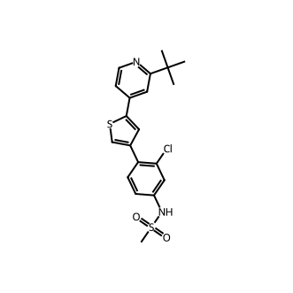 CC(C)(C)c1cc(-c2cc(-c3ccc(NS(C)(=O)=O)cc3Cl)cs2)ccn1